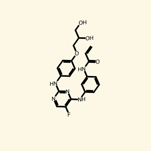 C=CC(=O)Nc1cccc(Nc2nc(Nc3ccc(OCC(O)CO)cc3)ncc2F)c1